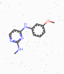 CNc1nccc(Nc2cccc(OC)c2)n1